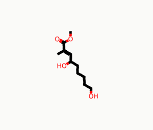 COC(=O)C(C)=CC(O)CCCCCO